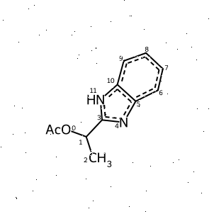 CC(=O)OC(C)c1nc2ccccc2[nH]1